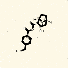 CN1[C@H]2CC[C@@H]1[C@@H](C(=O)OC(=O)c1ccc(CN)cc1)[C@@H](O)C2